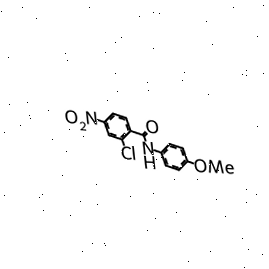 COc1ccc(NC(=O)c2ccc([N+](=O)[O-])cc2Cl)cc1